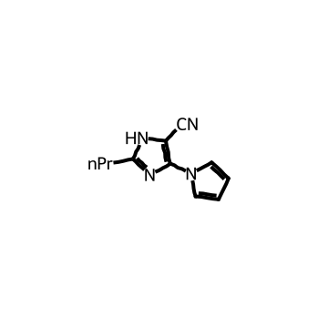 CCCc1nc(-n2cccc2)c(C#N)[nH]1